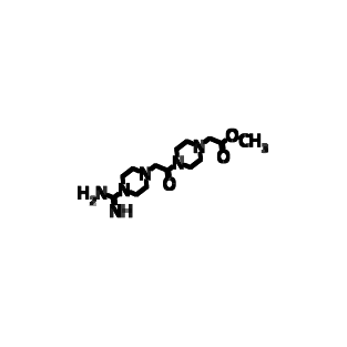 COC(=O)CN1CCN(C(=O)CN2CCN(C(=N)N)CC2)CC1